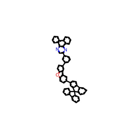 c1cc(-c2ccc3oc4ccc(-c5ccc6c(c5)C5(c7ccccc7-c7ccccc75)c5ccccc5-6)cc4c3c2)cc(-c2cnc3c4ccccc4c4ccccc4c3n2)c1